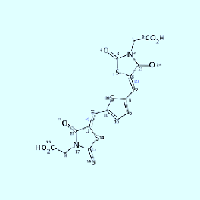 O=C(O)CN1C(=O)S/C(=C\c2ccc(/C=C3\SC(=S)N(CC(=O)O)C3=O)s2)C1=O